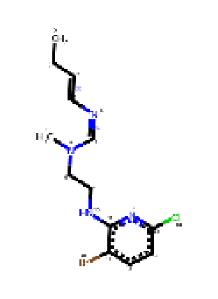 CC/C=C/N=C\N(C)CCNc1nc(Cl)ccc1Br